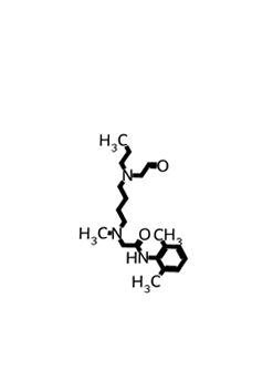 CCCN(CC=O)CCCCN(C)CC(=O)Nc1c(C)cccc1C